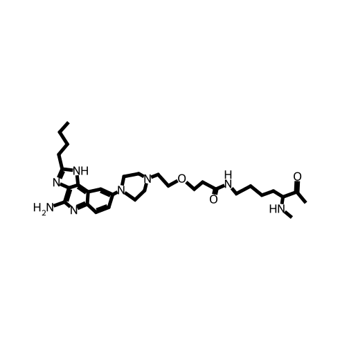 CCCCc1nc2c(N)nc3ccc(N4CCN(CCOCCC(=O)NCCCCC(NC)C(C)=O)CC4)cc3c2[nH]1